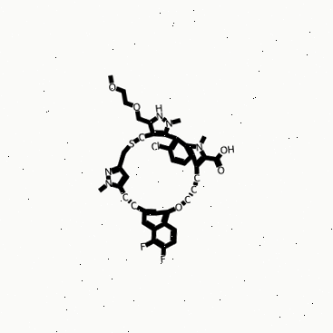 COCCOCC1NN(C)C2=C1CSCc1cc(n(C)n1)CCc1cc(c3ccc(F)c(F)c3c1)OCCCc1c(C(=O)O)n(C)c3c2c(Cl)ccc13